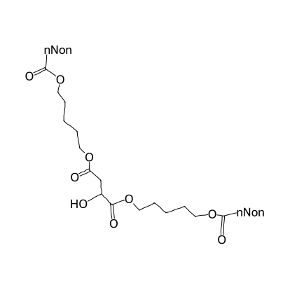 CCCCCCCCCC(=O)OCCCCCOC(=O)CC(O)C(=O)OCCCCCOC(=O)CCCCCCCCC